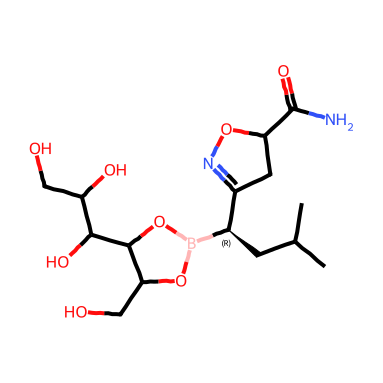 CC(C)C[C@@H](B1OC(CO)C(C(O)C(O)CO)O1)C1=NOC(C(N)=O)C1